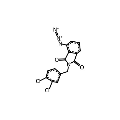 [N-]=[N+]=Nc1cccc2c1C(=O)N(Cc1ccc(Cl)c(Cl)c1)C2=O